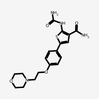 NC(=O)Nc1sc(-c2ccc(OCCN3CCOCC3)cc2)cc1C(N)=O